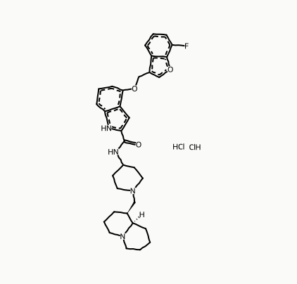 Cl.Cl.O=C(NC1CCN(C[C@@H]2CCCN3CCCC[C@H]23)CC1)c1cc2c(OCc3coc4c(F)cccc34)cccc2[nH]1